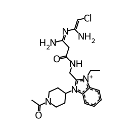 CC[n+]1c(CNC(=O)C/C(N)=N\C(N)=C\Cl)n(C2CCN(C(C)=O)CC2)c2ccccc21